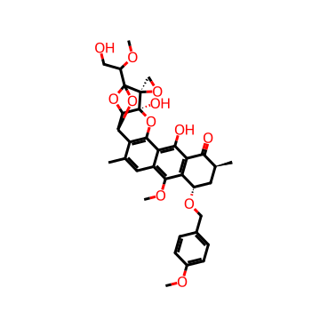 COc1ccc(CO[C@H]2C[C@H](C)C(=O)c3c2c(OC)c2cc(C)c4c(c2c3O)O[C@@]2(O)C3OC(C(CO)OC)(OC43)[C@]23CO3)cc1